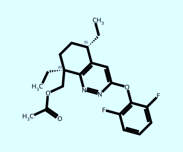 CC[C@H]1CC[C@](CC)(COC(C)=O)c2nnc(Oc3c(F)cccc3F)cc21